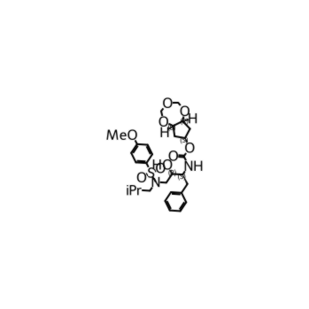 COc1ccc(S(=O)(=O)N(CC(C)C)C[C@@H](O)[C@H](Cc2ccccc2)NC(=O)O[C@H]2C[C@@H]3OCOCO[C@@H]3C2)cc1